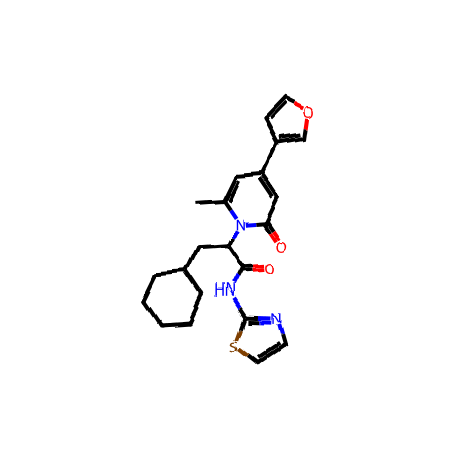 Cc1cc(-c2ccoc2)cc(=O)n1C(CC1CCCCC1)C(=O)Nc1nccs1